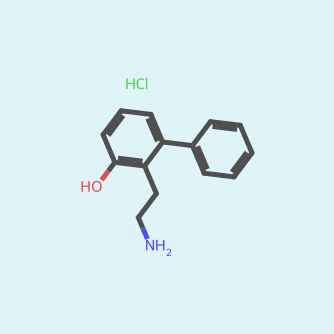 Cl.NCCc1c(O)cccc1-c1ccccc1